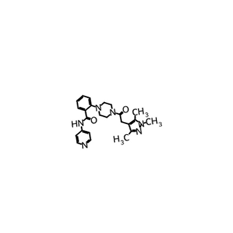 Cc1nn(C)c(C)c1CC(=O)N1CCN(c2ccccc2C(=O)Nc2ccncc2)CC1